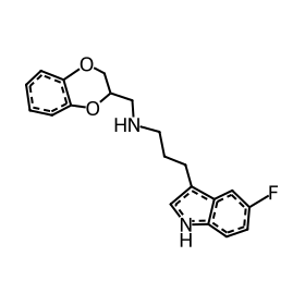 Fc1ccc2[nH]cc(CCCNCC3COc4ccccc4O3)c2c1